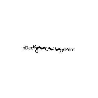 CCCCCCCCCCOC(=O)CCCOCCOCCOCCCCC